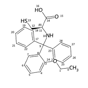 CCOc1ccccc1C(N[C@@H](CS)C(=O)O)(c1ccccc1)c1ccccc1